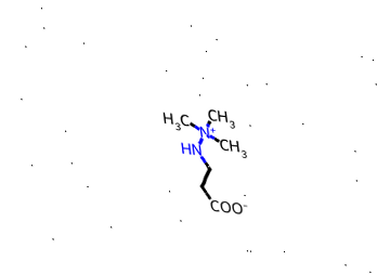 C[N+](C)(C)NCCC(=O)[O-]